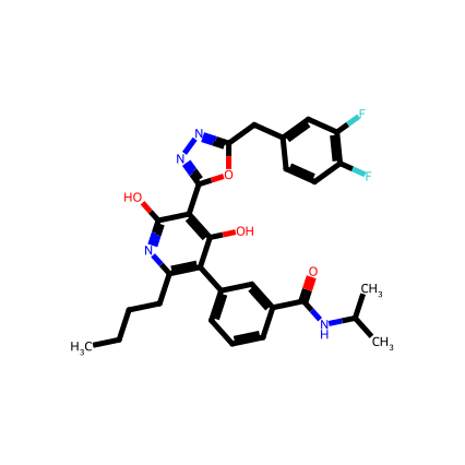 CCCCc1nc(O)c(-c2nnc(Cc3ccc(F)c(F)c3)o2)c(O)c1-c1cccc(C(=O)NC(C)C)c1